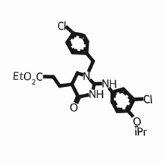 CCOC(=O)CCC1CN(Cc2ccc(Cl)cc2)C(Nc2ccc(OC(C)C)c(Cl)c2)NC1=O